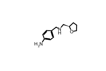 Nc1ccc(CNC[C@H]2CCCO2)cc1